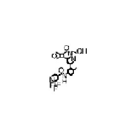 Cc1ccc(NC(=O)c2ccnc(C(F)(F)F)c2)cc1-c1cnc2c(c1)C1C3COCC3C1C(=O)N2CCO